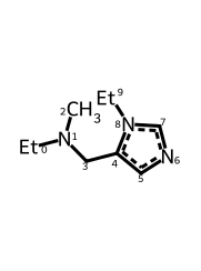 CCN(C)Cc1cncn1CC